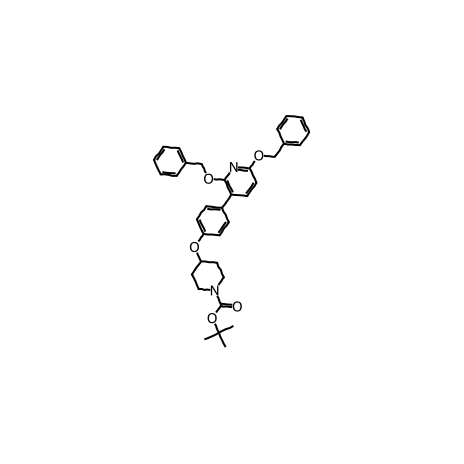 CC(C)(C)OC(=O)N1CCC(Oc2ccc(-c3ccc(OCc4ccccc4)nc3OCc3ccccc3)cc2)CC1